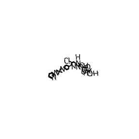 O[C@@H]1CO[C@H]2[C@@H]1OC[C@H]2Oc1nc2nc(-c3ccc(N4CC5(C4)CN(c4ccccn4)C5)cc3)c(Cl)cc2[nH]1